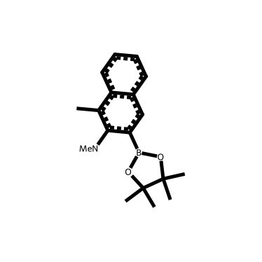 CNc1c(B2OC(C)(C)C(C)(C)O2)cc2ccccc2c1C